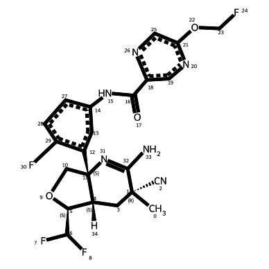 C[C@@]1(C#N)C[C@@H]2[C@@H](C(F)F)OC[C@]2(c2cc(NC(=O)c3cnc(OCF)cn3)ccc2F)N=C1N